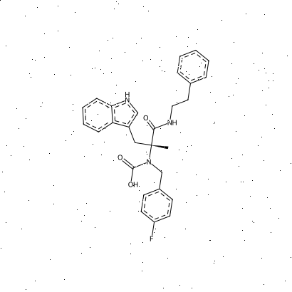 C[C@@](Cc1c[nH]c2ccccc12)(C(=O)NCCc1ccccc1)N(Cc1ccc(F)cc1)C(=O)O